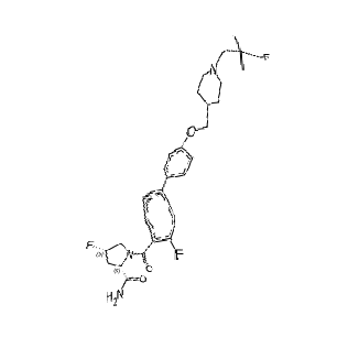 CC(C)(F)CN1CCC(COc2ccc(-c3ccc(C(=O)N4C[C@@H](F)C[C@H]4C(N)=O)c(F)c3)cc2)CC1